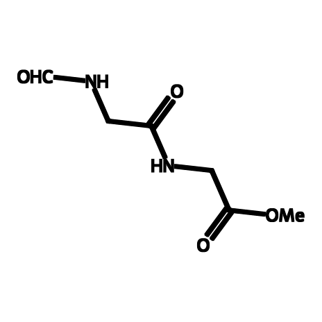 COC(=O)CNC(=O)CNC=O